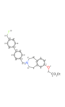 CCOC(=O)COc1ccc2c(c1)CCN(Cc1ccc(-c3ccc(CF)cc3)cc1)CC2